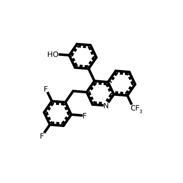 Oc1cccc(-c2c(Cc3c(F)cc(F)cc3F)cnc3c(C(F)(F)F)cccc23)c1